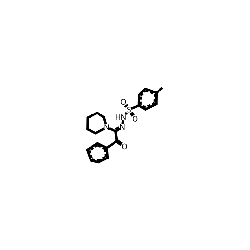 Cc1ccc(S(=O)(=O)NN=C(C(=O)c2ccccc2)N2CCCCC2)cc1